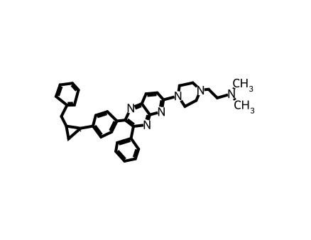 CN(C)CCN1CCN(c2ccc3nc(-c4ccc([C]5CC5Cc5ccccc5)cc4)c(-c4ccccc4)nc3n2)CC1